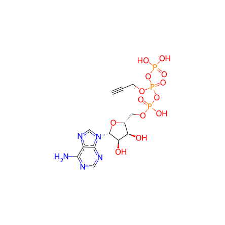 C#CCOP(=O)(OP(=O)(O)O)OP(=O)(O)OC[C@H]1O[C@@H](n2cnc3c(N)ncnc32)[C@H](O)[C@@H]1O